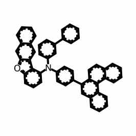 c1ccc(-c2cccc(N(c3ccc(-c4cc5ccccc5c5c4ccc4ccccc45)cc3)c3cccc4oc5cc6ccccc6cc5c34)c2)cc1